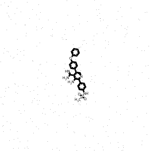 CS(=O)(=O)Nc1ccc(-c2ncc(-c3ccc(Oc4ccccc4)cc3)c(C(=N)N)c2N)cc1